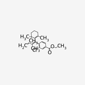 C=CC(C)=C(C1=C(C)CCCC1(C)C)c1ccc(C(=O)OCC)cc1Cl